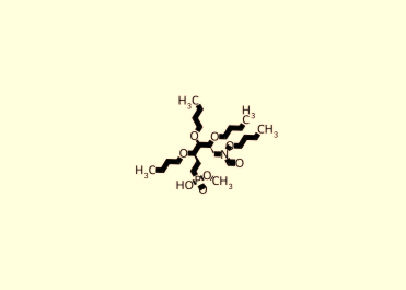 CCCCO[C@H]([C@@H](CCP(=O)(O)OC)OCCCC)[C@@H](CN(C=O)OCCCC)OCCCC